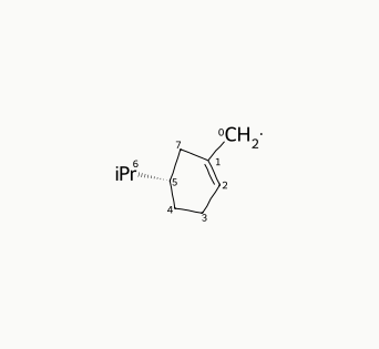 [CH2]C1=CCC[C@H](C(C)C)C1